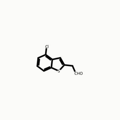 O=CCc1cc2c(Cl)cccc2s1